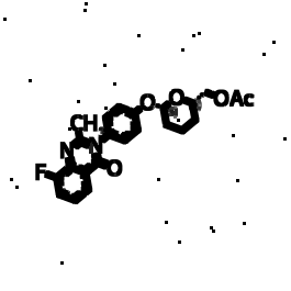 CC(=O)OC[C@@H]1CCC[C@H](Oc2ccc(-n3c(C)nc4c(F)cccc4c3=O)cc2)O1